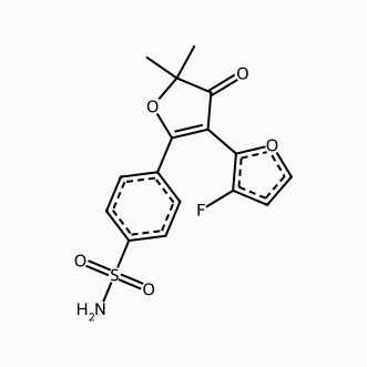 CC1(C)OC(c2ccc(S(N)(=O)=O)cc2)=C(c2occc2F)C1=O